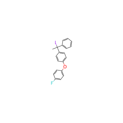 CC(I)(c1ccccc1)c1ccc(Oc2ccc(F)cc2)cc1